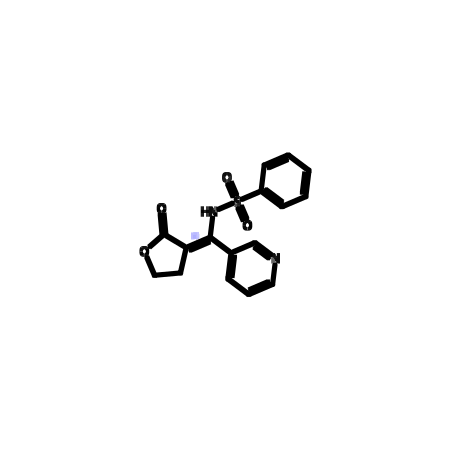 O=C1OCC/C1=C(/NS(=O)(=O)c1ccccc1)c1cccnc1